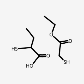 CCC(S)C(=O)O.CCOC(=O)CS